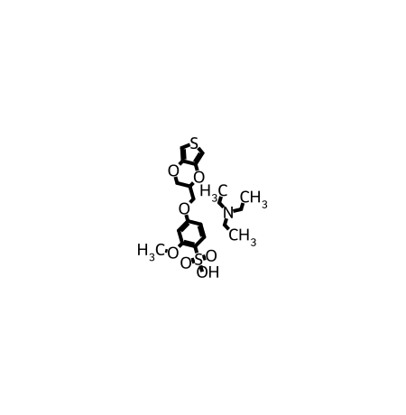 CCN(CC)CC.COc1cc(OCC2COc3cscc3O2)ccc1S(=O)(=O)O